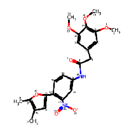 COc1cc(CC(=O)Nc2ccc(-c3cc(C)c(C)o3)c([N+](=O)[O-])c2)cc(OC)c1OC